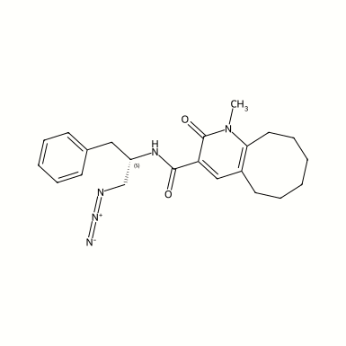 Cn1c2c(cc(C(=O)N[C@H](CN=[N+]=[N-])Cc3ccccc3)c1=O)CCCCCC2